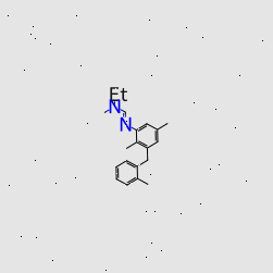 CCN(C)C=Nc1cc(C)cc(Cc2ccccc2C)c1C